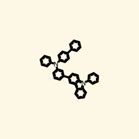 c1ccc(-c2ccc(N(c3ccccc3)c3cccc(-c4ccc5c(c4)c4ccccc4n5-c4ccccc4)c3)cc2)cc1